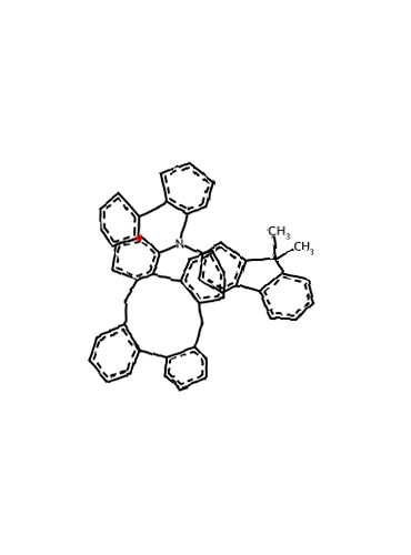 CC1(C)c2ccccc2-c2ccc(N(c3ccccc3-c3ccccc3)c3cccc4c3-c3ccccc3Cc3ccccc3-c3ccccc3C4)cc21